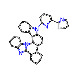 c1ccc(-c2cccc(-n3c4ccccc4c4c3ccc3c5ccccc5c5nc6ccccc6n5c34)n2)nc1